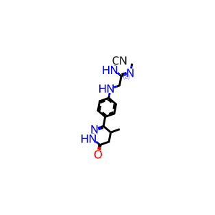 C/N=C(/CNc1ccc(C2=NNC(=O)CC2C)cc1)NC#N